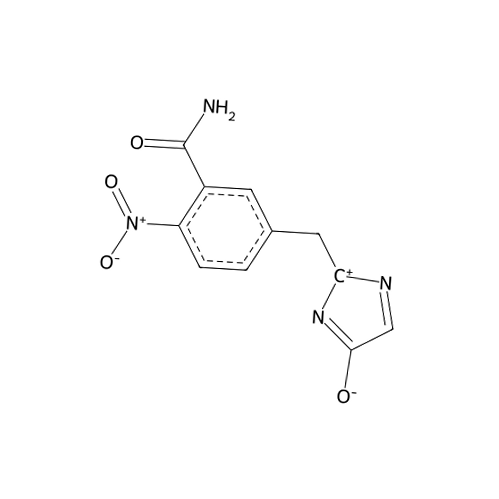 NC(=O)c1cc(C[C+]2N=CC([O-])=N2)ccc1[N+](=O)[O-]